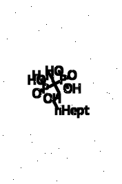 CCCCCCCCCC(N)(P(=O)(O)O)P(=O)(O)O